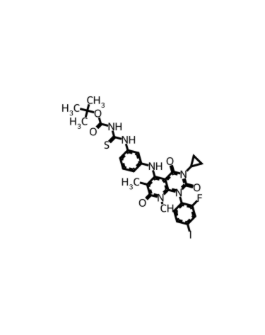 Cc1c(Nc2cccc(NC(=S)NC(=O)OC(C)(C)C)c2)c2c(=O)n(C3CC3)c(=O)n(-c3ccc(I)cc3F)c2n(C)c1=O